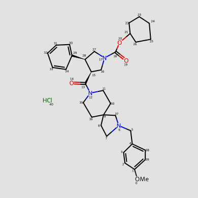 COc1ccc(CN2CCC3(CCN(C(=O)[C@@H]4CN(C(=O)OC5CCCCC5)C[C@@H]4c4ccccc4)CC3)C2)cc1.Cl